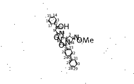 CON=C1CC(c2noc(C[C@H](O)c3ccccc3)n2)N(C(=O)c2ccc(-c3ccccc3)cc2)C1